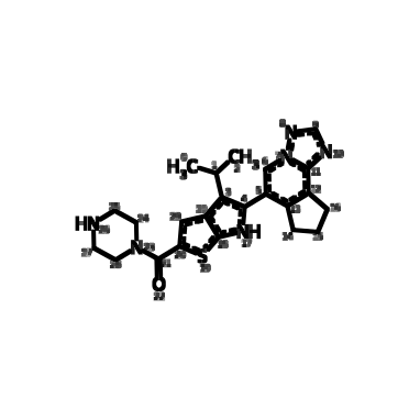 CC(C)c1c(-c2cn3ncnc3c3c2CCC3)[nH]c2sc(C(=O)N3CCNCC3)cc12